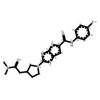 CN(C)C(=O)CC1CCN(c2nc3sc(C(=O)Nc4ccc(F)cc4)cc3s2)C1